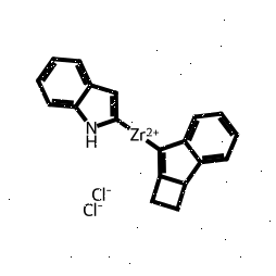 [Cl-].[Cl-].c1ccc2c(c1)[C]([Zr+2][c]1cc3ccccc3[nH]1)=C1CCC12